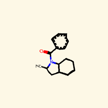 N#CC1CC2CCCCC2N1C(=O)c1ccccc1